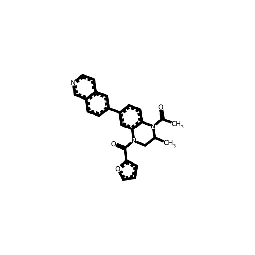 CC(=O)N1c2ccc(-c3ccc4cnccc4c3)cc2N(C(=O)c2ccco2)CC1C